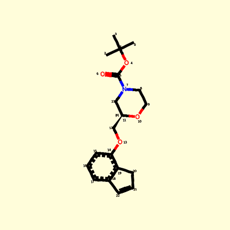 CC(C)(C)OC(=O)N1CCO[C@@H](COc2cccc3c2CC=C3)C1